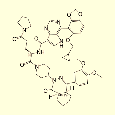 COc1ccc(C2=NN(C3CCN(C(=O)[C@@H](CCC(=O)N4CCCC4)NC(=O)c4c[nH]c5c(-c6c(OCC7CC7)ccc7c6OCO7)ncnc45)CC3)C(=O)[C@@H]3CCCC[C@H]23)cc1OC